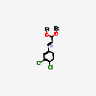 CCOC(/C=C/c1ccc(Cl)c(Cl)c1)OCC